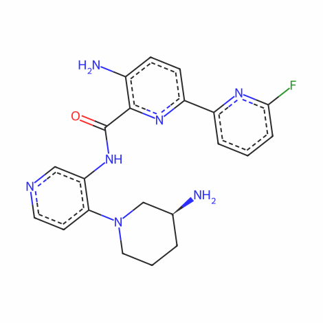 Nc1ccc(-c2cccc(F)n2)nc1C(=O)Nc1cnccc1N1CCC[C@H](N)C1